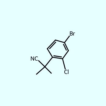 CC(C)(C#N)c1ccc(Br)cc1Cl